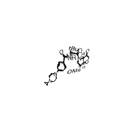 CO[C@@H]1CN(C(=O)[C@@H](NC(=O)c2ccc(N3CCN(C4CC4)CC3)cc2)C(C)(C)C)[C@@H]2C(=O)CO[C@@H]21